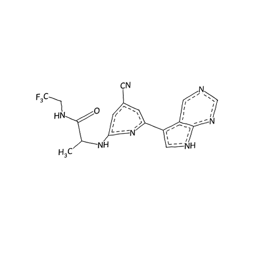 CC(Nc1cc(C#N)cc(-c2c[nH]c3ncncc23)n1)C(=O)NCC(F)(F)F